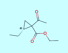 CCOC(=O)C1(C(C)=O)C[C@H]1CC